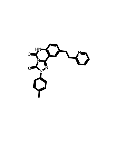 Cc1ccc(-n2nc3c4cc(CCc5ccccn5)ccc4[nH]c(=O)n3c2=O)cc1